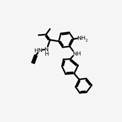 C#CNNC(=C(C)C)c1ccc(N)c(Nc2cccc(-c3ccccc3)c2)c1